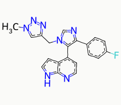 Cn1cc(Cn2cnc(-c3ccc(F)cc3)c2-c2ccnc3[nH]ccc23)nn1